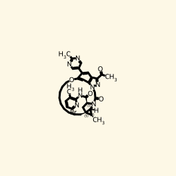 CC(=O)c1nn2c3cc(c(-c4cnc(C)nc4)cc13)OCCCCCCCCC[C@@]13C[C@@H](C(=O)Nc4nc(Br)ccc4C)N(C(=O)C2)[C@@H]1[C@@H]3C